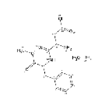 COC(=O)C(Cc1ccccc1)NC(=O)C(N)CC(=O)O.O.O